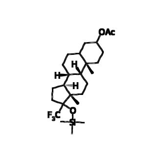 CC(=O)OC1CC[C@@]2(C)C(CC[C@@H]3[C@H]2CC[C@@]2(C)[C@H]3CCC2(O[Si](C)(C)C)C(F)(F)F)C1